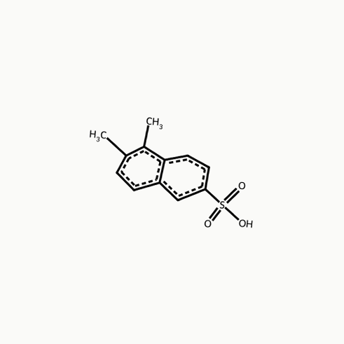 Cc1ccc2cc(S(=O)(=O)O)ccc2c1C